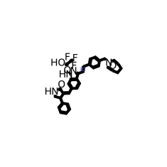 O=C(O)C(F)(F)F.O=C1NCC(c2ccccc2)C1=Cc1ccc2c(/C=C/c3ccc(CN4CC5CCC(C4)O5)cc3)n[nH]c2c1